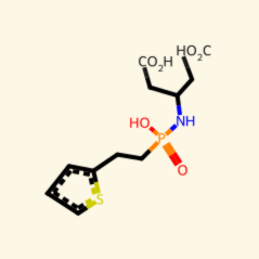 O=C(O)CC(CC(=O)O)NP(=O)(O)CCc1cccs1